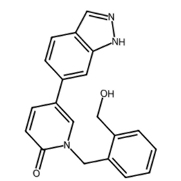 O=c1ccc(-c2ccc3cn[nH]c3c2)cn1Cc1ccccc1CO